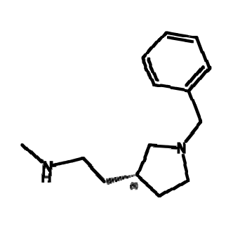 CNCC[C@H]1CCN(Cc2ccccc2)C1